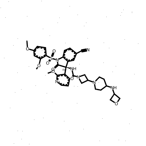 COc1ccc(S(=O)(=O)N2C(=O)[C@@](NC(=O)N3CC(N4CCC(NC5COC5)CC4)C3)(c3cccnc3OC)c3cc(C#N)ccc32)c(OC)c1